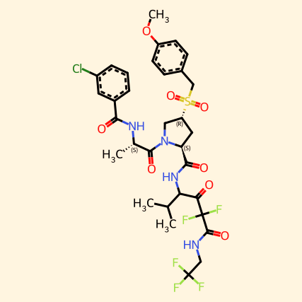 COc1ccc(CS(=O)(=O)[C@@H]2C[C@@H](C(=O)NC(C(=O)C(F)(F)C(=O)NCC(F)(F)F)C(C)C)N(C(=O)[C@H](C)NC(=O)c3cccc(Cl)c3)C2)cc1